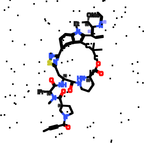 C=C/C(=C(\N=C/C)[C@H](C)OC)c1c2c3cc(ccc3n1CC)-c1nsc(n1)C[C@H](NC(=O)[C@H](C(C)C)N(C)C(=O)[C@H]1CCN(C(=O)C#CC)C1)C(=O)N1CCC[C@H](N1)C(=O)OCC(C)(C)C2